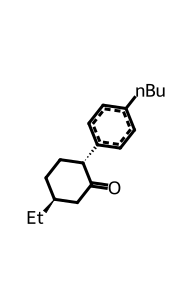 CCCCc1ccc([C@H]2CC[C@H](CC)CC2=O)cc1